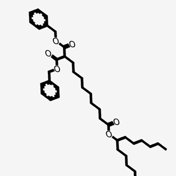 CCCCCCC(CCCCCC)OC(=O)CCCCCCCCC(C(=O)OCc1ccccc1)C(=O)OCc1ccccc1